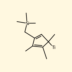 CC1=C(C)[C](C)([Ti])C=C1C[Si](C)(C)C